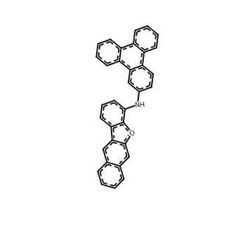 c1ccc2cc3c(cc2c1)oc1c(Nc2ccc4c5ccccc5c5ccccc5c4c2)cccc13